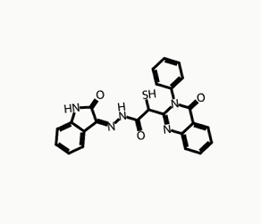 O=C1Nc2ccccc2C1=NNC(=O)C(S)c1nc2ccccc2c(=O)n1-c1ccccc1